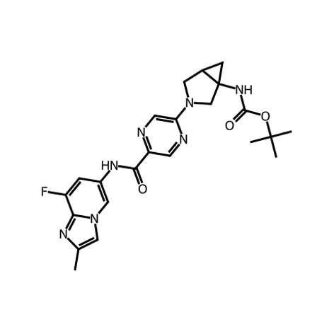 Cc1cn2cc(NC(=O)c3cnc(N4CC5CC5(NC(=O)OC(C)(C)C)C4)cn3)cc(F)c2n1